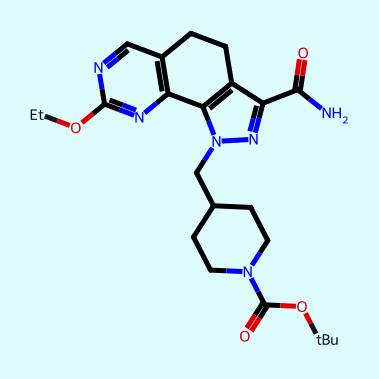 CCOc1ncc2c(n1)-c1c(c(C(N)=O)nn1CC1CCN(C(=O)OC(C)(C)C)CC1)CC2